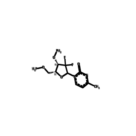 Cc1ccn(C2O[C@H](COP)[C@H](OP)C2(F)F)c(=O)n1